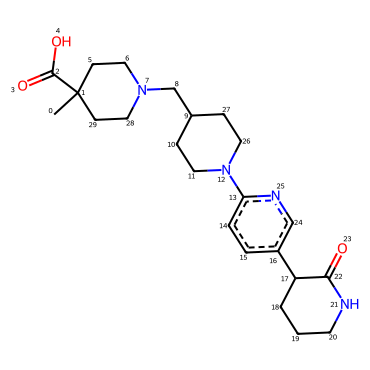 CC1(C(=O)O)CCN(CC2CCN(c3ccc(C4CCCNC4=O)cn3)CC2)CC1